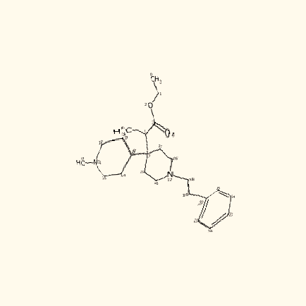 CCOC(=O)C(C)C1(C2CCN(O)CC2)CCN(CCc2ccccc2)CC1